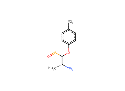 N[C@H](C(=O)O)C(Oc1ccc([N+](=O)[O-])cc1)P=O